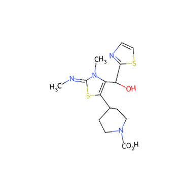 C/N=c1\sc(C2CCN(C(=O)O)CC2)c(C(O)c2nccs2)n1C